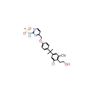 CC(C)(c1ccc(OCc2ccnc(NS(C)(=O)=O)n2)cc1)c1cc(Cl)c(CCO)c(C#N)c1